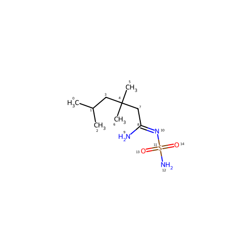 CC(C)CC(C)(C)C/C(N)=N/S(N)(=O)=O